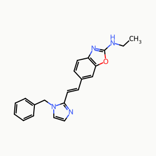 CCNc1nc2ccc(/C=C/c3nccn3Cc3ccccc3)cc2o1